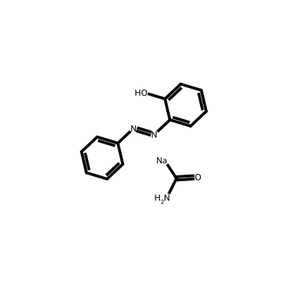 N[C](=O)[Na].Oc1ccccc1N=Nc1ccccc1